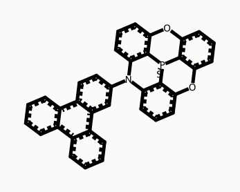 S=P12c3c4cccc3Oc3cccc(c31)N(c1ccc3c5ccccc5c5ccccc5c3c1)c1cccc(c12)O4